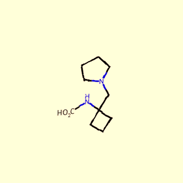 O=C(O)NC1(CN2CCCC2)CCC1